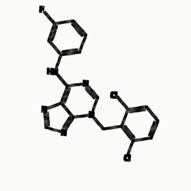 Fc1cccc(Nc2ncn(Cc3c(Cl)cccc3Cl)c3ncnc2-3)c1